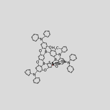 Cc1ccccc1N1c2cc3c(cc2B2c4sc(C(C)(C)C)cc4Oc4cc(N(c5ccccc5)c5ccccc5)cc1c42)B1c2cc4c(cc2Oc2cc(N(c5ccccc5)c5ccccc5)cc(c21)O3)Oc1cc(N(c2ccccc2)c2ccccc2)cc2c1B4c1sc(C(C)(C)C)cc1O2